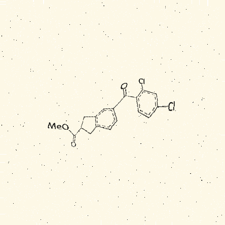 COC(=O)C1Cc2ccc(C(=O)c3ccc(Cl)cc3Cl)cc2C1